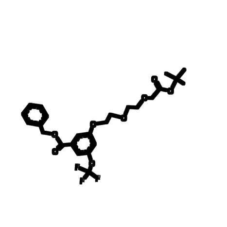 CC(C)(C)OC(=O)COCCOCCOc1cc(OC(F)(F)F)cc(C(=O)OCc2ccccc2)c1